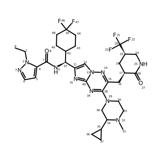 CCn1nccc1C(=O)N[C@H](c1cn2nc(C[C@H]3C[C@@H](C(F)(F)F)CNC3=O)c(N3CCN(C)C(C4CC4)C3)nc2n1)C1CCC(F)(F)CC1